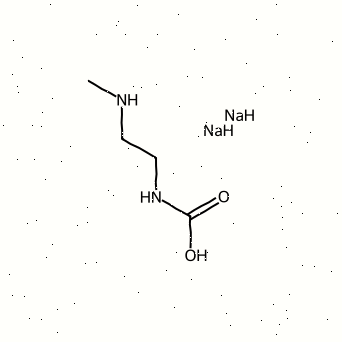 CNCCNC(=O)O.[NaH].[NaH]